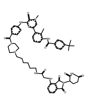 Cc1c(NC(=O)c2ccc(C(C)(C)C)cc2)cccc1-c1cn(C)c(=O)c(Nc2ccc(C(=O)N3CCN(CCCCCCNC(=O)CNc4cccc5c4C(=O)N(C4CCC(=O)NC4=O)C5=O)CC3)cc2)n1